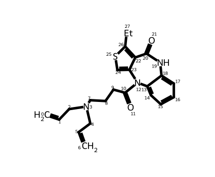 C=CCN(CC=C)CCCC(=O)N1c2ccccc2NC(=O)c2c1csc2CC